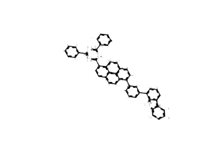 c1ccc(-c2nc(-c3ccccc3)nc(-c3ccc4ccc5c(-c6cccc(-c7cccc8c7oc7ccccc78)c6)ccc6ccc3c4c65)n2)cc1